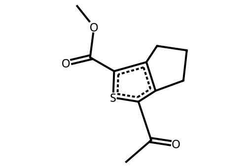 COC(=O)c1sc(C(C)=O)c2c1CCC2